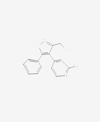 OCc1noc(-c2ccccc2)c1-c1ccnc(Br)c1